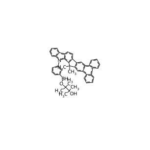 CC1(C)c2cc3c4ccccc4c4ccccc4c3cc2-c2ccc3c4ccccc4n(-c4cccc(BOC(C)(C)C(C)(C)O)c4)c3c21